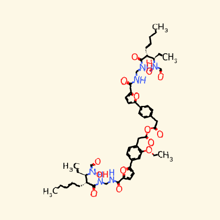 CCCCC[C@@H](C(=O)NCNC(=O)c1ccc(-c2ccc(CC(=O)OC(=O)Cc3ccc(-c4ccc(C(=O)NCNC(=O)[C@H](CCCCC)[C@@H](CC)N(O)C=O)o4)cc3OCC)cc2)o1)[C@@H](CC)N(O)C=O